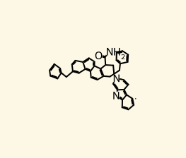 NC(=O)C1CC(Cc2ccccc2)(n2ccc3c4[c]cccc4nc-3c2)Cc2ccc3c(ccc4ccc(Cc5ccccc5)cc43)c21